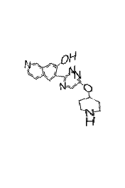 Oc1cc2cnccc2cc1-c1ncc(OC2CCNCC2)nn1